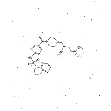 C#CC(C/C=C(\C)C(F)(F)F)CN1CCN(C(=O)c2ccc(NS(=O)(=O)C3CC=Cc4cccnc43)cc2)CC1